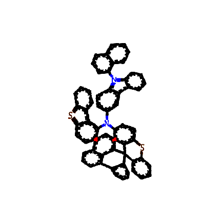 c1ccc2c(c1)Sc1ccc(N(c3ccc4c(c3)c3ccccc3n4-c3cccc4ccccc34)c3cccc4sc5ccccc5c34)cc1C21c2ccccc2-c2cccc3cccc1c23